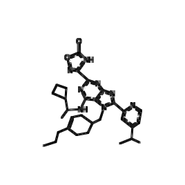 CCCC1=CCC(Cn2c(-c3cc(C(C)C)ccn3)nc3nc(-c4noc(=O)[nH]4)nc(NC(C)C4CCC4)c32)CC1